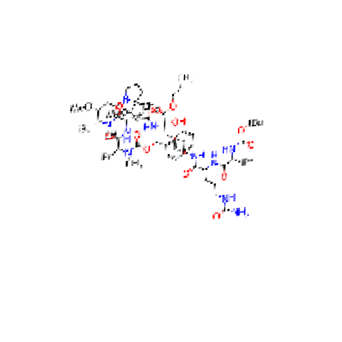 C=CCOC(=O)[C@@](O)(Cc1ccccc1)NC(=O)C[C@@H](OC)[C@@]1(C)CCCN1C(=O)C[C@@H](OC)[C@H]([C@@H](C)CC)N(C)C(=O)[C@@H](NC(=O)[C@H](C(C)C)N(C)C(=O)OCc1ccc(NC(=O)[C@H](CCCNC(N)=O)NC(=O)C(NC(=O)OC(C)(C)C)C(C)C)cc1)C(C)C